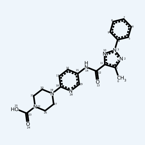 Cc1nn(-c2ccccc2)nc1C(=O)Nc1ccc(N2CCN(C(=O)O)CC2)nc1